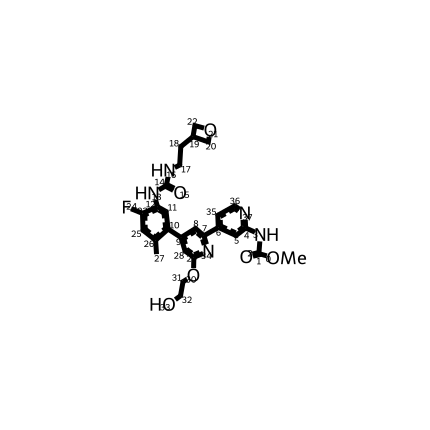 COC(=O)Nc1cc(-c2cc(-c3cc(NC(=O)NCCC4COC4)c(F)cc3C)cc(OCCO)n2)ccn1